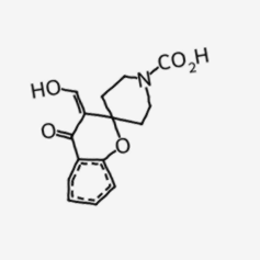 O=C1C(=CO)C2(CCN(C(=O)O)CC2)Oc2ccccc21